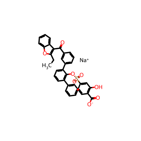 CCc1oc2ccccc2c1C(=O)c1cccc(-c2cccc(-c3ccccc3)c2OS(=O)(=O)c2ccc(C(=O)[O-])c(O)c2)c1.[Na+]